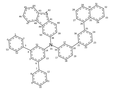 c1ccc(-c2cc(-c3ccccc3)cc(N(c3cccc(-c4cccc(-c5cccc6ccccc56)c4)c3)c3ccc4sc5ccccc5c4c3)c2)cc1